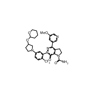 COc1cncc(-c2nn(-c3cc(N4CCC(OC5CCCCO5)C4)ccc3C(F)(F)F)c(=O)c3c2CCN3C(N)=O)c1